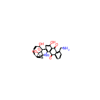 C[C@@H](O)[C@@]12O[C@]13c1cc(O)c4c(c1N[C@H]2C#C/C=C\C#C[C@H]3O)C(=O)c1cccc(CN)c1C4=O